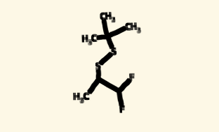 CC(SSC(C)(C)C)C(F)F